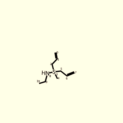 C=CCS(C)(CC=C)NCC